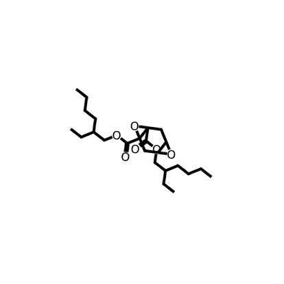 CCCCC(CC)COC(=O)C12CC3OC3CC1(C(=O)OCC(CC)CCCC)O2